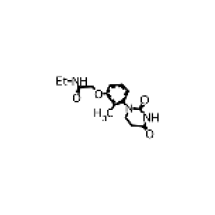 CCNC(=O)COc1cccc(N2CCC(=O)NC2=O)c1C